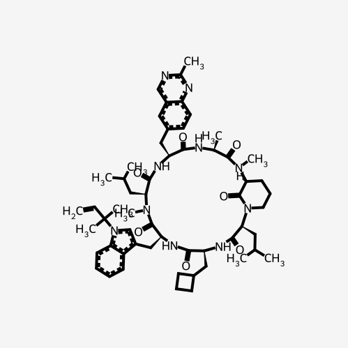 C=CC(C)(C)n1cc(C[C@@H]2NC(=O)[C@H](CC3CCC3)NC(=O)[C@H](CC(C)C)N3CCC[C@@H](C3=O)N(C)C(=O)[C@H](C)NC(=O)[C@H](Cc3ccc4nc(C)ncc4c3)NC(=O)[C@H](CC(C)C)N(C)C2=O)c2ccccc21